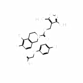 Cc1noc(C)c1COC(=O)N1CCc2c(ccc(F)c2F)[C@H]1c1cc(Cl)ccc1OCC(=O)O